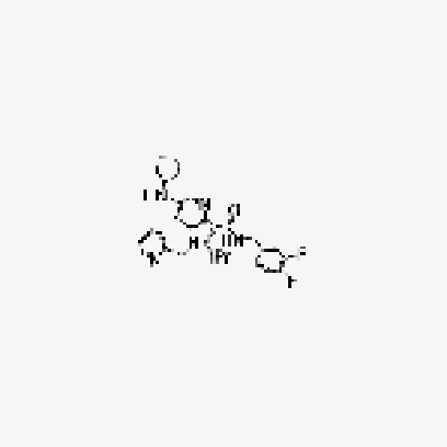 CC(C)c1c(C(=O)NCc2ccc(F)c(F)c2)c2ncc(NC3CCCC3)cc2n1Cc1ccccn1